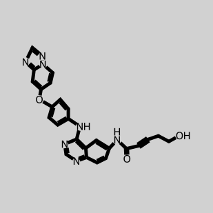 O=C(C#CCCO)Nc1ccc2ncnc(Nc3ccc(Oc4ccn5ncnc5c4)cc3)c2c1